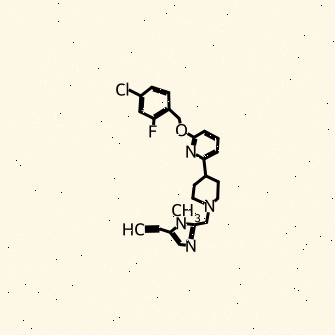 C#Cc1cnc(CN2CCC(c3cccc(OCc4ccc(Cl)cc4F)n3)CC2)n1C